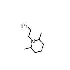 CC(C)CCN1C(C)CCCC1C